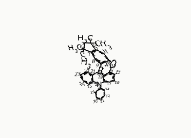 CC1(C)CC(C)(C)c2cc3c(cc21)Oc1cccc2c1B3c1ccccc1N2c1ccccc1